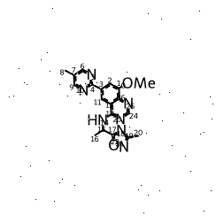 COc1cc(-c2ncc(C)cn2)cc2c(NC(C)c3nc(C)no3)ncnc12